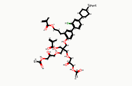 C=C(C)C(=O)OCCCc1cc(-c2ccc(C3CCC(CCCCC)CC3)cc2F)ccc1OCC(COCC(=O)COC(=O)CC)(COCC(=O)COC(=O)CC)COC(=O)C(=C)C